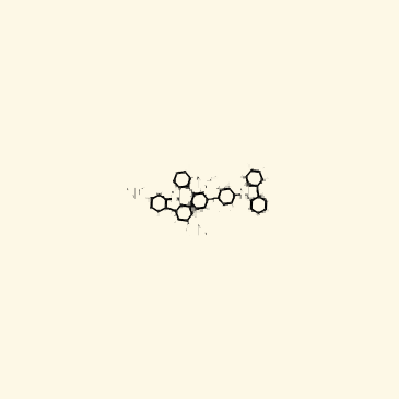 N#Cc1ccc2c(c1)c1ccc(C#N)cc1n2-c1ccccc1-c1cccc(-c2ccc(-n3c4ccccc4c4ccccc43)cc2C#N)c1